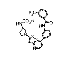 O=C(O)NC1CCN(c2cc3nccc(-c4cccc(NC(=O)c5cccc(C(F)(F)F)c5)c4)n3n2)C1